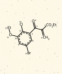 C=C(C(=O)OCC)C(=O)c1cc(Br)cc(OCC)c1Cl